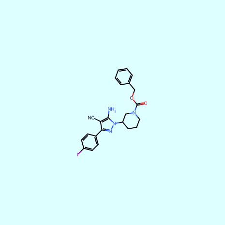 N#Cc1c(-c2ccc(I)cc2)nn(C2CCCN(C(=O)OCc3ccccc3)C2)c1N